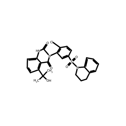 CC(C)(O)c1cccc2[nH]c(=O)n(-c3cc(S(=O)(=O)N4CCCc5ccccc54)ccc3Cl)c(=O)c12